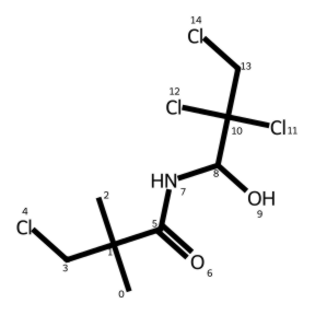 CC(C)(CCl)C(=O)NC(O)C(Cl)(Cl)CCl